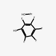 CC(C)O.Fc1c(F)c(F)c(S)c(F)c1F